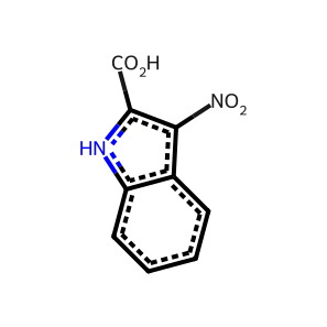 O=C(O)c1[nH]c2ccccc2c1[N+](=O)[O-]